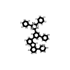 c1ccc(-c2cc(-c3nc(-c4ccccc4)nc(-c4ccccc4)n3)cc(-c3cccc4c3Cc3c(-c5cccnc5)cccc3-4)c2)cc1